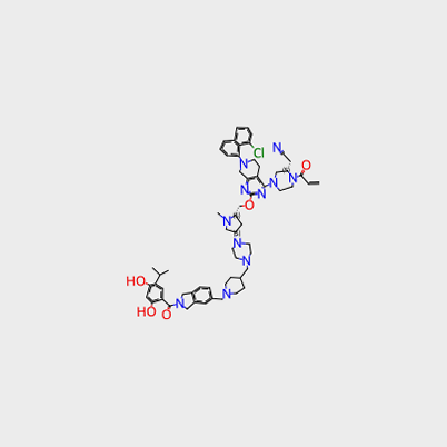 C=CC(=O)N1CCN(c2nc(OC[C@@H]3C[C@H](N4CCN(CC5CCN(Cc6ccc7c(c6)CN(C(=O)c6cc(C(C)C)c(O)cc6O)C7)CC5)CC4)CN3C)nc3c2CCN(c2cccc4cccc(Cl)c24)C3)C[C@@H]1CC#N